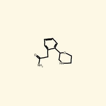 NC(=O)Cc1ccccc1C1CNCCO1